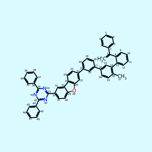 C=C(c1ccccc1)c1ccccc1-c1cc(-c2cccc(-c3ccc4c(c3)oc3ccc(-c5nc(-c6ccccc6)nc(-c6ccccc6)n5)cc34)c2)ccc1C